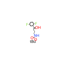 CC(C)(C)OC(=O)NCCC[C@@H](O)c1cc(F)ccc1F